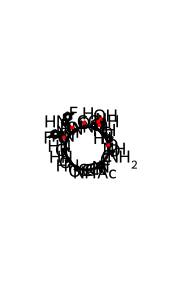 CC(=O)N[C@H]1CCCCn2cc(nn2)CC[C@@H](C(N)=O)NC(=O)[C@]2(C)CCCN2C(=O)[C@H](Cc2ccc(O)cc2)NC(=O)[C@H](Cc2cnc[nH]2)NC(=O)[C@H](CC(=O)O)NC(=O)[C@H](CCc2c[nH]c3ccc(F)cc23)NC(=O)[C@H](Cc2c[nH]c3ccc(F)cc23)NC(=O)CNC(=O)[C@H](C)NC1=O